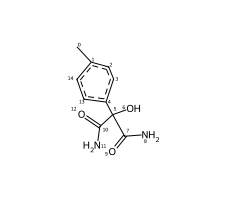 Cc1ccc(C(O)(C(N)=O)C(N)=O)cc1